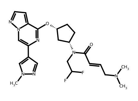 CN(C)CC=CC(=O)N(CC(F)F)[C@H]1CC[C@@H](Oc2nc(-c3cnn(C)c3)cn3nccc23)C1